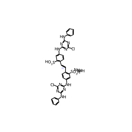 O=S(=O)(O)c1cc(Nc2nc(Cl)nc(Nc3ccccc3)n2)ccc1/C=C/c1ccc(Nc2nc(Cl)nc(Nc3ccccc3)n2)cc1S(=O)(=O)O.[NaH].[NaH]